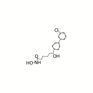 O=C(CCCCC(O)c1ccc(-c2cccc(Cl)c2)cc1)NO